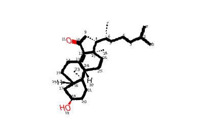 CC(C)CCC[C@@H](C)[C@H]1CC(=O)C2=C3CC[C@H]4C[C@H](O)CC[C@]4(C)[C@H]3CC[C@@]21C